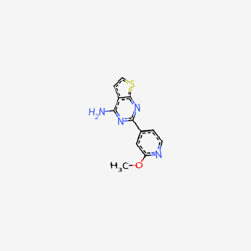 COc1cc(-c2nc(N)c3ccsc3n2)ccn1